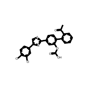 CC(=O)c1ccccc1-c1ccc(-c2nc(-c3ccc(Cl)c(Cl)c3)cs2)cc1OC(=O)O